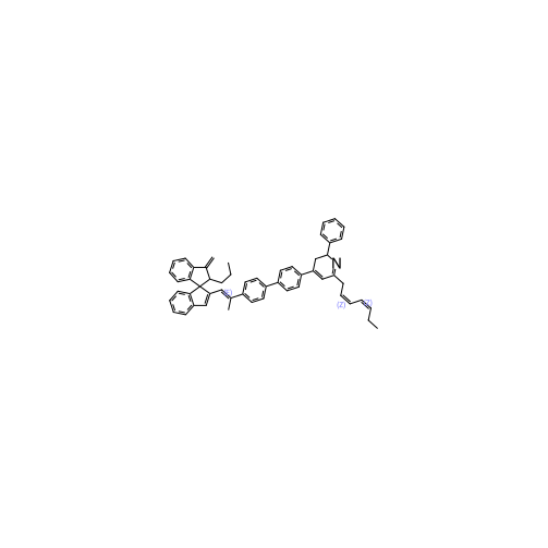 C=C1c2ccccc2C2(C(/C=C(\C)c3ccc(-c4ccc(C5=CC(C/C=C\C=C/CC)=NC(c6ccccc6)C5)cc4)cc3)=Cc3ccccc32)C1CCC